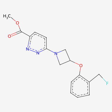 COC(=O)c1ccc(N2CC(Oc3ccccc3CF)C2)nn1